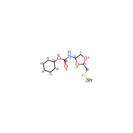 CC(C)SC[C@@H]1OCC(NC(=O)OC2CCCCC2)O1